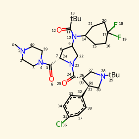 CN1CCN(C(=O)[C@@H]2CC(N(C(=O)C(C)(C)C)C3CCC(F)(F)CC3)CN2C(=O)[C@@H]2CN(C(C)(C)C)C[C@H]2c2ccc(Cl)cc2)CC1